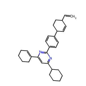 C=CC1C=CC(c2ccc(-c3nc(C4=CCCCC4)cc(C4CCCCC4)n3)cc2)CC1